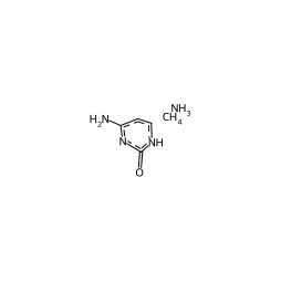 C.N.Nc1cc[nH]c(=O)n1